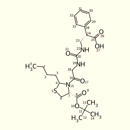 CCCCC1SC[C@@H](C(=O)OC(C)(C)C)N1C(=O)CNC(=O)NC[C@@H](C(=O)O)c1ccccc1